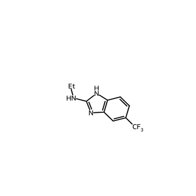 CCNc1nc2cc(C(F)(F)F)ccc2[nH]1